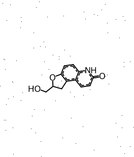 O=c1ccc2c3c(ccc2[nH]1)OC(CO)C3